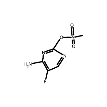 CS(=O)(=O)Oc1ncc(F)c(N)n1